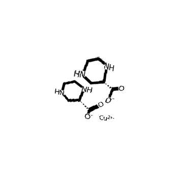 O=C([O-])[C@@H]1CNCCN1.O=C([O-])[C@@H]1CNCCN1.[Cu+2]